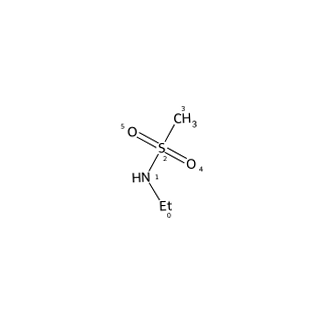 CCNS(C)(=O)=O